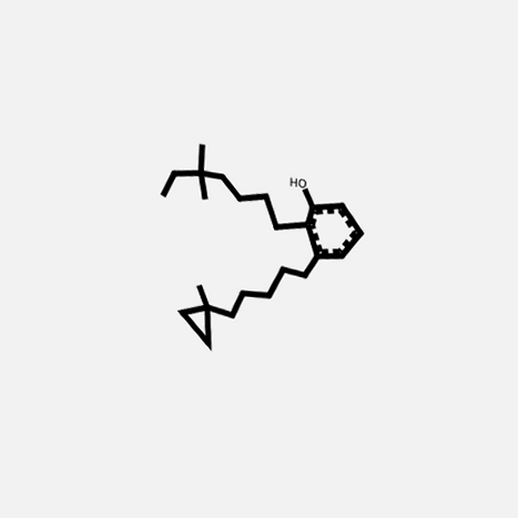 CCC(C)(C)CCCCc1c(O)cccc1CCCCCC1(C)CC1